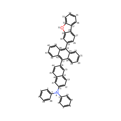 c1ccc(N(c2ccccc2)c2ccc3cc(-c4c5ccccc5c(-c5ccc6c(c5)oc5ccccc56)c5ccccc45)ccc3c2)cc1